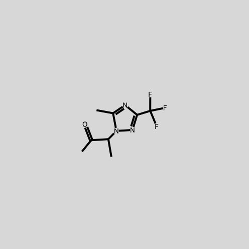 CC(=O)C(C)n1nc(C(F)(F)F)nc1C